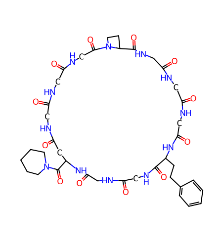 O=C1CNC(=O)CC(C(=O)N2CCCCC2)NC(=O)CNC(=O)CNC(=O)C(CCc2ccccc2)NC(=O)CNC(=O)CNC(=O)CNC(=O)C2CCN2C(=O)CNC(=O)CN1